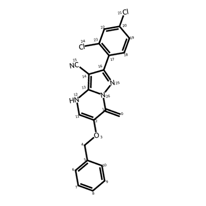 C=C1C(OCc2ccccc2)=CNc2c(C#N)c(-c3ccc(Cl)cc3Cl)nn21